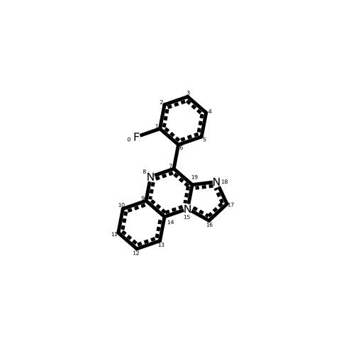 Fc1ccccc1-c1nc2ccccc2n2ccnc12